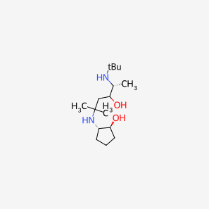 C[C@@H](NC(C)(C)C)C(O)CC(C)(C)N[C@H]1CCC[C@@H]1O